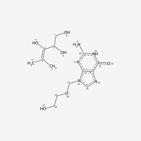 CC(C)=C(O)C(O)CO.Nc1nc2c(ncn2COCCO)c(=O)[nH]1